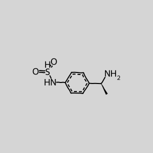 C[C@H](N)c1ccc(N[SH](=O)=O)cc1